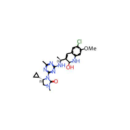 COc1cc2c(cc1Cl)C=C([C@H](C)Nc1nc(C)nc(N3C(=O)N(C)C[C@@H]3C3CC3)n1)C(O)N2